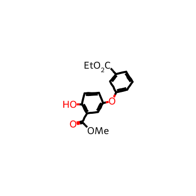 CCOC(=O)c1cccc(Oc2ccc(O)c(C(=O)OC)c2)c1